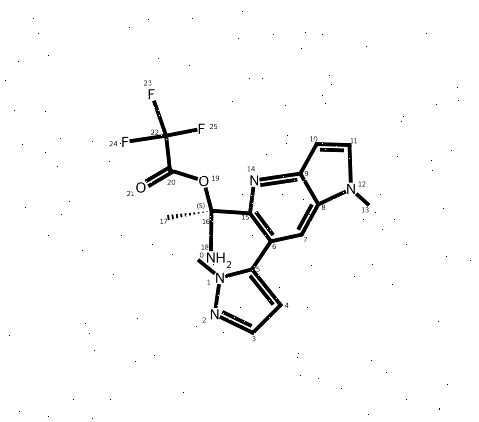 Cn1nccc1-c1cc2c(ccn2C)nc1[C@@](C)(N)OC(=O)C(F)(F)F